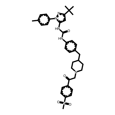 Cc1ccc(-n2nc(C(C)(C)C)cc2NC(=O)Nc2ccc(CC3CCN(CC(=O)c4ccc(S(C)(=O)=O)cc4)CC3)cc2)cc1